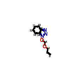 C=CCOCOn1nnc2ccccc21